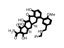 COc1ccc(CNCC(C)C)cc1-c1ccc(O)c2c1C[C@H]1C[C@H]3CC(O)=C(C(N)=O)C(=O)[C@@]3(O)C(O)=C1C2=O